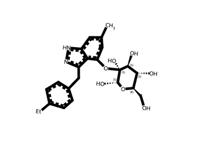 CCc1ccc(Cc2n[nH]c3cc(C)cc(O[C@]4(O)[C@@H](O)O[C@H](CO)[C@@H](O)[C@@H]4O)c23)cc1